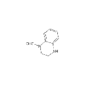 O=CN1CCNc2ccccc21